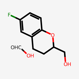 O=CO.OCC1CCc2cc(F)ccc2O1